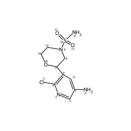 Nc1cnc(Cl)c(C2CN(S(N)(=O)=O)CCO2)c1